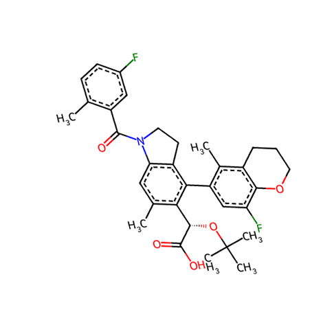 Cc1ccc(F)cc1C(=O)N1CCc2c1cc(C)c([C@H](OC(C)(C)C)C(=O)O)c2-c1cc(F)c2c(c1C)CCCO2